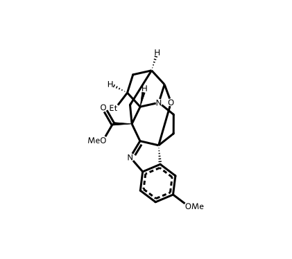 CC[C@H]1C[C@@H]2C[C@@]3(C(=O)OC)C4=Nc5ccc(OC)cc5[C@]45CCN(C2O5)[C@@H]13